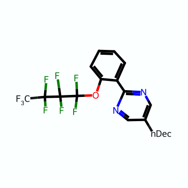 CCCCCCCCCCc1cnc(-c2ccccc2OC(F)(F)C(F)(F)C(F)(F)C(F)(F)F)nc1